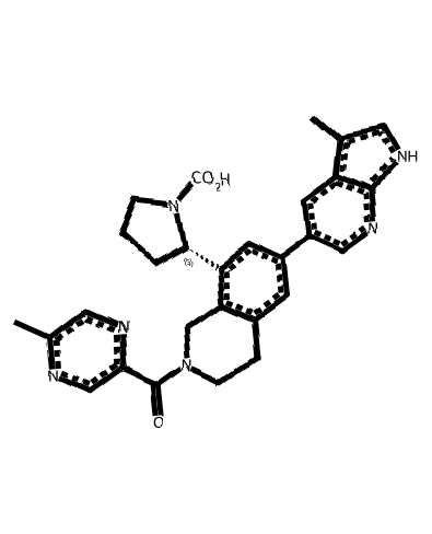 Cc1cnc(C(=O)N2CCc3cc(-c4cnc5[nH]cc(C)c5c4)cc([C@@H]4CCCN4C(=O)O)c3C2)cn1